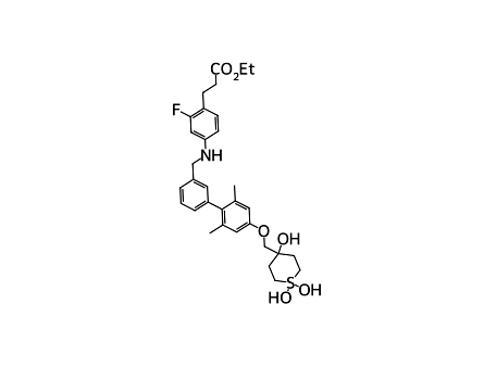 CCOC(=O)CCc1ccc(NCc2cccc(-c3c(C)cc(OCC4(O)CCS(O)(O)CC4)cc3C)c2)cc1F